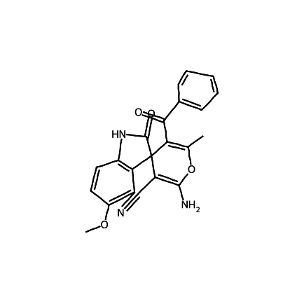 COc1ccc2c(c1)C1(C(=O)N2)C(C#N)=C(N)OC(C)=C1C(=O)c1ccccc1